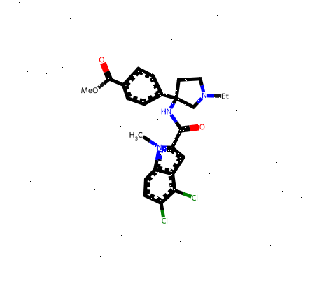 CCN1CCC(NC(=O)c2cc3c(Cl)c(Cl)ccc3n2C)(c2ccc(C(=O)OC)cc2)C1